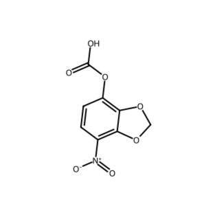 O=C(O)Oc1ccc([N+](=O)[O-])c2c1OCO2